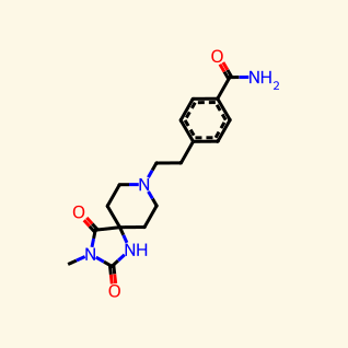 CN1C(=O)NC2(CCN(CCc3ccc(C(N)=O)cc3)CC2)C1=O